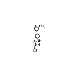 Cc1cc(-c2ccc(NC(=O)NCc3ccco3)cc2)ccn1